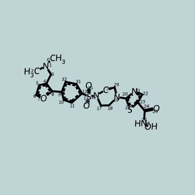 CN(C)Cc1ccoc1-c1ccc(S(=O)(=O)N2CCN(c3ncc(C(=O)NO)s3)CC2)cc1